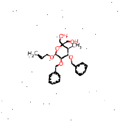 C=CCOC1OC(CO)(CO)[C@@H](C)[C@H](OCc2ccccc2)[C@H]1OCc1ccccc1